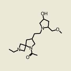 CCN1CC2(CC(CCN3CC(O)CC3COC)CN2C(C)=O)C1